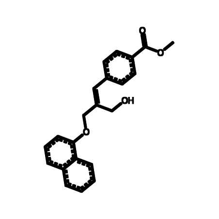 COC(=O)c1ccc(C=C(CO)COc2cccc3ccccc23)cc1